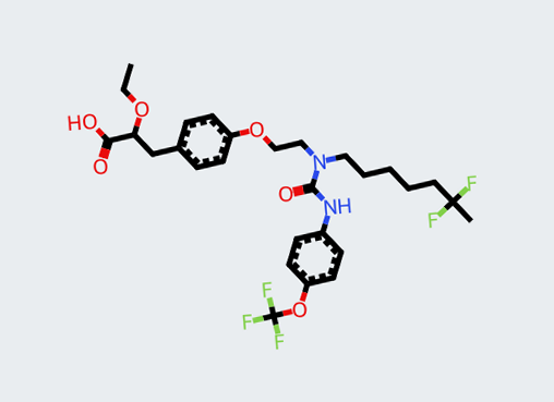 CCOC(Cc1ccc(OCCN(CCCCCC(C)(F)F)C(=O)Nc2ccc(OC(F)(F)F)cc2)cc1)C(=O)O